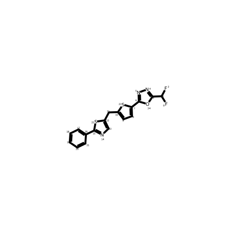 FC(F)c1nnc(-c2ccc(Cc3cnc(-c4ccccc4)s3)s2)o1